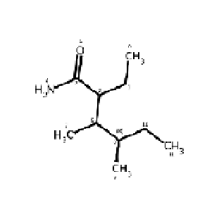 CCC(C(N)=O)C(C)[C@H](C)CC